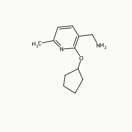 Cc1ccc(CN)c(OC2CCCC2)n1